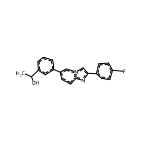 CC(O)c1cccc(-c2ccc3nc(-c4ccc(F)cc4)cn3c2)c1